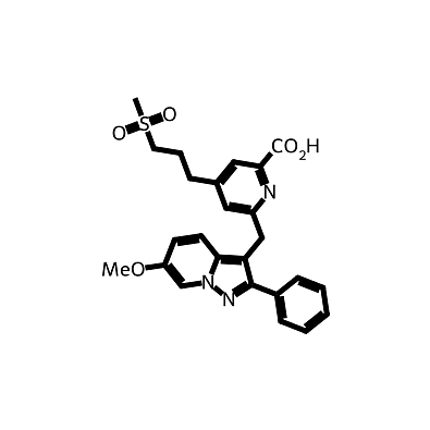 COc1ccc2c(Cc3cc(CCCS(C)(=O)=O)cc(C(=O)O)n3)c(-c3ccccc3)nn2c1